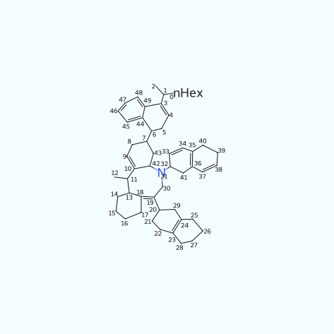 CCCCCCC(C)C1=CCC(C2CC=C3C(C)C4CCCC/C4=C(\C4CCC5=C(CCCC5)C4)CN(C4C=CC5=C(C=CCC5)C4)C3C2)c2ccccc21